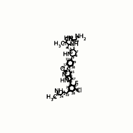 CC(C)[C@H](C[C@@H]1CCC[C@@H](c2ccc(-n3cc4cc(-c5cc(CCC[C@H](C)N)cc(Cl)c5F)[nH]c4nc3=O)cc2)N1)NC(=N)CN